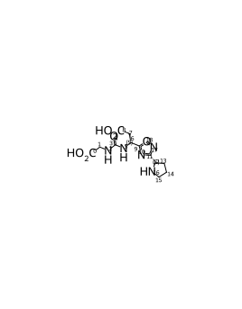 O=C(O)CNC(=O)N[C@@H](CC(=O)O)c1nc([C@@H]2CCCN2)no1